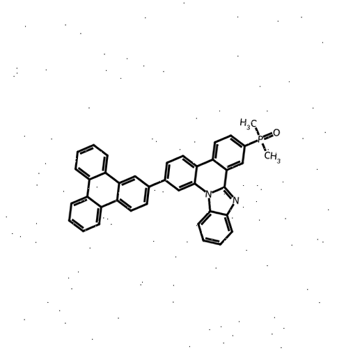 CP(C)(=O)c1ccc2c3ccc(-c4ccc5c6ccccc6c6ccccc6c5c4)cc3n3c4ccccc4nc3c2c1